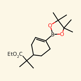 CCOC(=O)C(C)(C)C1CC=C(B2OC(C)(C)C(C)(C)O2)CC1